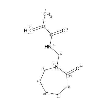 C=C(C)C(=O)NCN1CCCCCC1=O